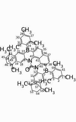 Cc1cc(C)c(B2c3cc4c(cc3N3C(=O)N5c6cc7c(cc6B(c6c(C)cc(C)cc6C)c6ccc8ccc2c3c8c65)C2(C)CCC7(C)CC2)C2(C)CCC4(C)CC2)c(C)c1